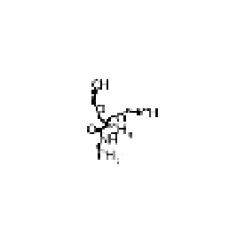 C#CCOCC(C)(COCC#C)C(=O)NC[CH2]